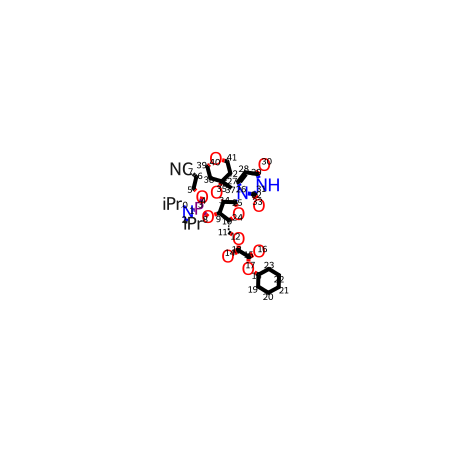 CC(C)N(C(C)C)P(OCCC#N)OC1[C@@H](COC(=O)C(=O)OC2CCCCC2)O[C@@H](n2ccc(=O)[nH]c2=O)[C@H]1OC1(C)CCOCC1